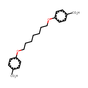 O=C(O)c1ccc(OCCCCCCCOc2ccc(C(=O)O)cc2)cc1